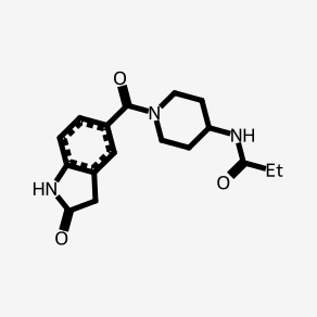 CCC(=O)NC1CCN(C(=O)c2ccc3c(c2)CC(=O)N3)CC1